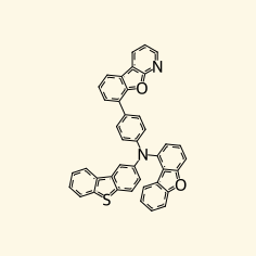 c1ccc2c(c1)oc1cccc(N(c3ccc(-c4cccc5c4oc4ncccc45)cc3)c3ccc4sc5ccccc5c4c3)c12